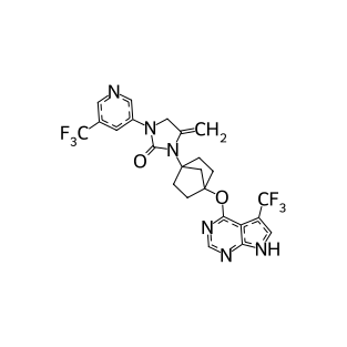 C=C1CN(c2cncc(C(F)(F)F)c2)C(=O)N1C12CCC(Oc3ncnc4[nH]cc(C(F)(F)F)c34)(CC1)C2